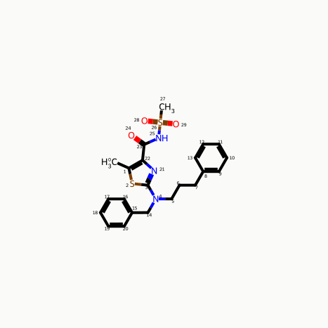 Cc1sc(N(CCCc2ccccc2)Cc2ccccc2)nc1C(=O)NS(C)(=O)=O